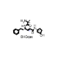 C[C@H](N)C(=O)N[C@H](/C=C/C(=O)N[C@@H]1CC[C@H](O)C1)CCc1ccccc1.O=CO